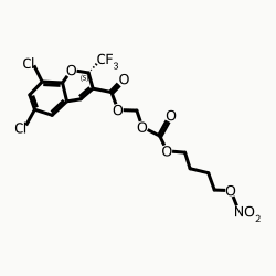 O=C(OCCCCO[N+](=O)[O-])OCOC(=O)C1=Cc2cc(Cl)cc(Cl)c2O[C@@H]1C(F)(F)F